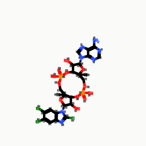 Nc1ncnc2c1ncn2[C@@H]1O[C@@H]2COP(=O)(O)OC3C(O)[C@H](n4c(Cl)nc5cc(Cl)c(Cl)cc54)O[C@@H]3COP(=O)(O)OC2C1O